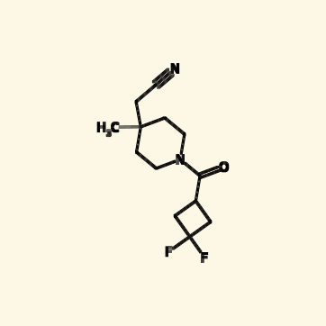 CC1(CC#N)CCN(C(=O)C2CC(F)(F)C2)CC1